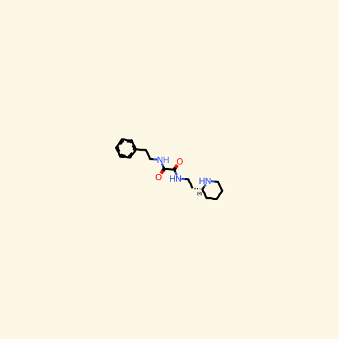 O=C(NCCc1ccccc1)C(=O)NCC[C@H]1CCCCN1